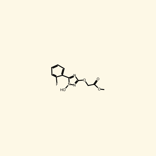 COC(=O)COc1nc(-c2ccccc2F)n(O)n1